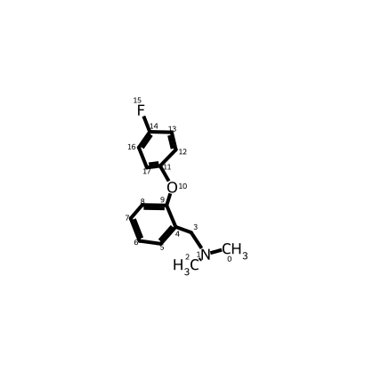 CN(C)Cc1ccccc1Oc1ccc(F)cc1